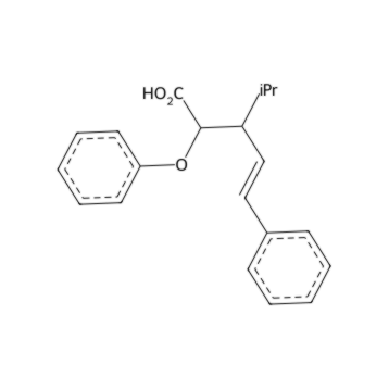 CC(C)C(C=Cc1ccccc1)C(Oc1ccccc1)C(=O)O